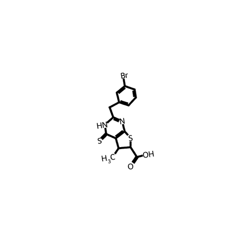 CC1c2c(nc(Cc3cccc(Br)c3)[nH]c2=S)SC1C(=O)O